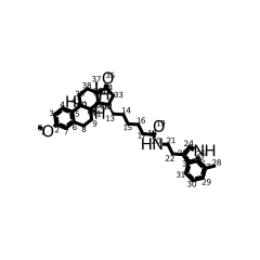 COc1ccc2c(c1)CC[C@H]1[C@@H]3[C@H](CCCCCC(=O)NCCc4c[nH]c5c(C)cccc45)CC(=O)[C@@]3(C)CC[C@H]21